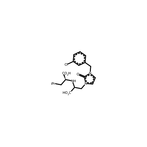 CC(C)C[C@H](NC(Cn1ccn(Cc2cccc(Cl)c2)c1=O)C(=O)O)C(=O)O